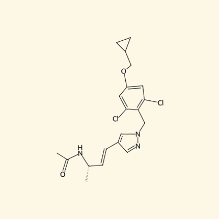 CC(=O)N[C@@H](C)/C=C/c1cnn(Cc2c(Cl)cc(OCC3CC3)cc2Cl)c1